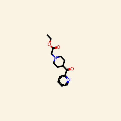 CCOC(=O)CN1CCC(C(=O)c2ccccn2)CC1